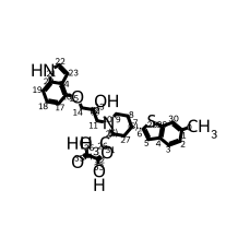 Cc1ccc2cc([C@H]3CCN(C[C@H](O)COc4cccc5[nH]ccc45)[C@@H](C)C3)sc2c1.O=C(O)C(=O)O